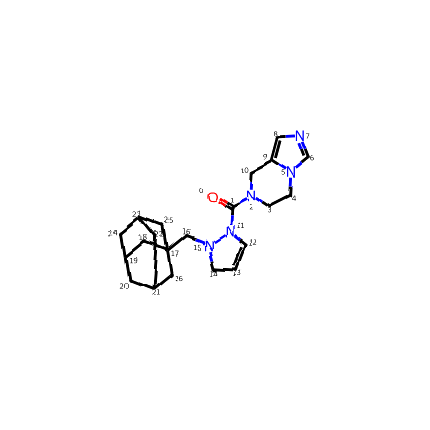 O=C(N1CCn2cncc2C1)N1C=CCN1CC12CC3CC(CC(C3)C1)C2